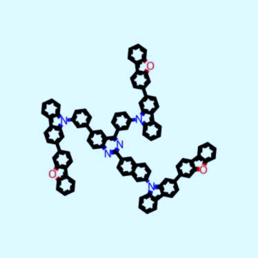 c1cc(-c2ccc3nc(-c4ccc5cc(-n6c7ccccc7c7ccc(-c8ccc9c(c8)oc8ccccc89)cc76)ccc5c4)nc(-c4cccc(-n5c6ccccc6c6ccc(-c7ccc8c(c7)oc7ccccc78)cc65)c4)c3c2)cc(-n2c3ccccc3c3ccc(-c4ccc5c(c4)oc4ccccc45)cc32)c1